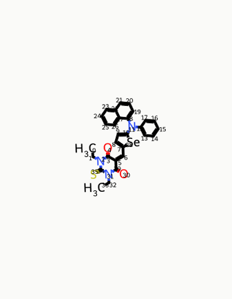 CCN1C(=O)C(=Cc2ccc(N(c3ccccc3)c3cccc4ccccc34)[se]2)C(=O)N(CC)C1=S